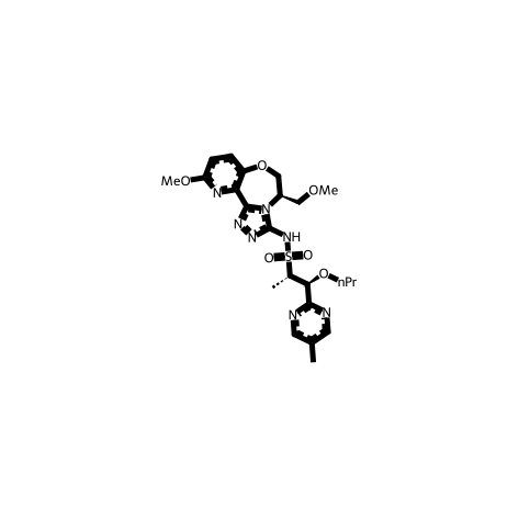 CCCO[C@@H](c1ncc(C)cn1)[C@H](C)S(=O)(=O)Nc1nnc2n1[C@H](COC)COc1ccc(OC)nc1-2